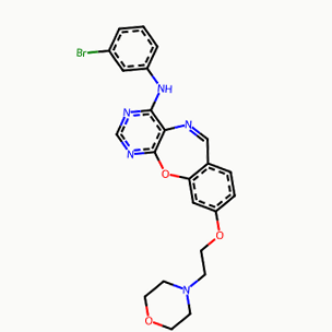 Brc1cccc(Nc2ncnc3c2N=Cc2ccc(OCCN4CCOCC4)cc2O3)c1